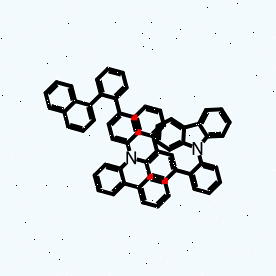 c1ccc(-c2ccccc2N(c2ccc(-c3ccccc3-c3cccc4ccccc34)cc2)c2ccc(-c3ccccc3-n3c4ccccc4c4ccccc43)cc2-c2ccccc2)cc1